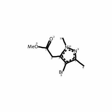 COC(=O)Cc1c(Br)c(C)nn1C